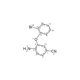 N#Cc1ccc(N)c(Oc2ccccc2Br)c1